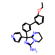 CCOc1cccc(-c2cccc(C3(c4ccncc4)N=C(N)N4CCCN=C43)c2)c1